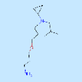 CC(C)CN(CCCOCCCN)C1CC1